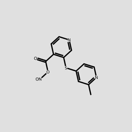 Cc1cc(Sc2cnccc2C(=O)ON=O)ccn1